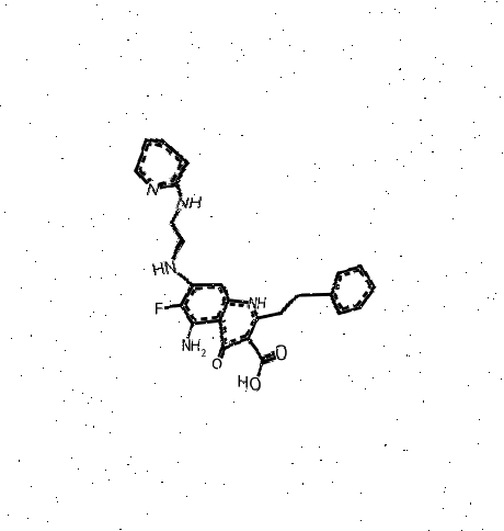 Nc1c(F)c(NCCNc2ccccn2)cc2[nH]c(CCc3ccccc3)c(C(=O)O)c(=O)c12